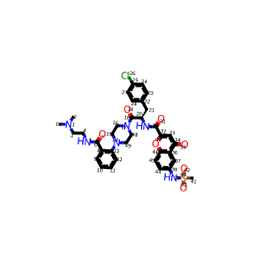 CN(C)CCNC(=O)c1ccccc1N1CCN(C(=O)[C@@H](Cc2ccc(Cl)cc2)NC(=O)c2cc(=O)c3cc(NS(C)(=O)=O)ccc3o2)CC1